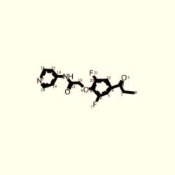 CCC(=O)c1cc(F)c(OCC(=O)Nc2ccncc2)c(F)c1